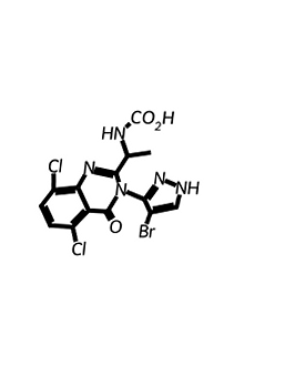 CC(NC(=O)O)c1nc2c(Cl)ccc(Cl)c2c(=O)n1-c1n[nH]cc1Br